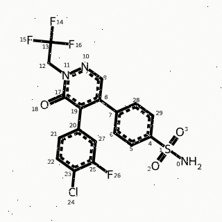 NS(=O)(=O)c1ccc(-c2cnn(CC(F)(F)F)c(=O)c2-c2ccc(Cl)c(F)c2)cc1